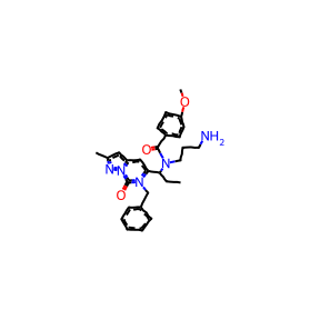 CCC(c1cc2cc(C)nn2c(=O)n1Cc1ccccc1)N(CCCN)C(=O)c1ccc(OC)cc1